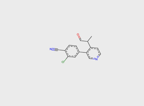 CC(C=O)c1ccncc1-c1ccc(C#N)c(Cl)c1